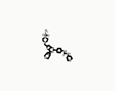 CS(=O)(=O)N1CCN(Cc2cc3nc(-c4ccc(NC(=O)Nc5ccncc5)cc4)nc(N4C5CCC4COC5)c3s2)CC1